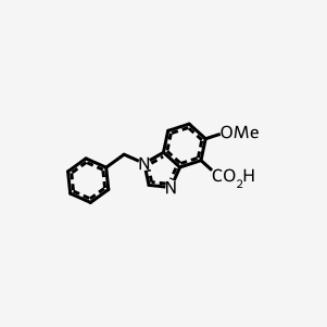 COc1ccc2c(ncn2Cc2ccccc2)c1C(=O)O